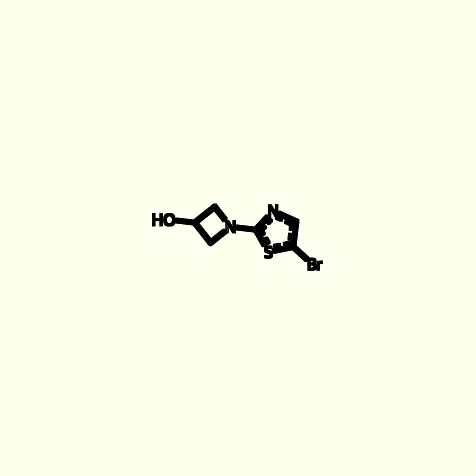 OC1CN(c2ncc(Br)s2)C1